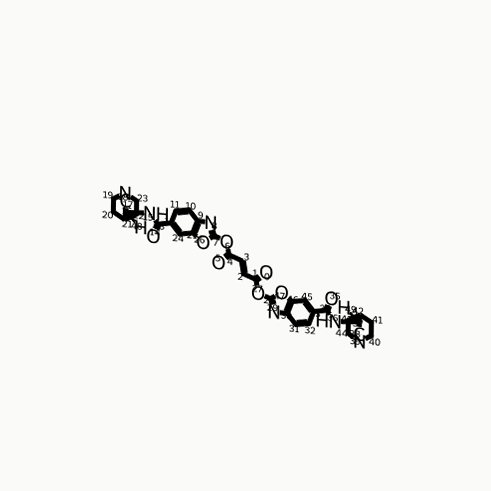 O=C(/C=C/C(=O)Oc1nc2ccc(C(=O)N[C@H]3CN4CCC3CC4)cc2o1)Oc1nc2ccc(C(=O)N[C@H]3CN4CCC3CC4)cc2o1